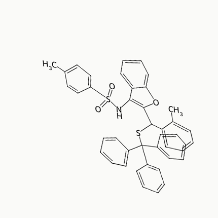 Cc1ccc(S(=O)(=O)Nc2c(C(SC(c3ccccc3)(c3ccccc3)c3ccccc3)c3ccccc3C)oc3ccccc23)cc1